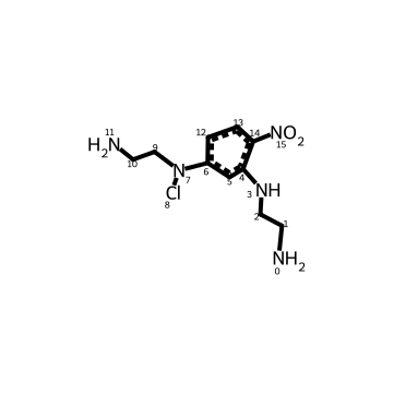 NCCNc1cc(N(Cl)CCN)ccc1[N+](=O)[O-]